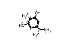 Cc1c(O)cc([C@@H](C)N)cc1O